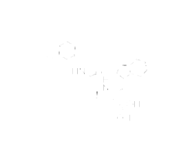 COc1cccc(CNC(=O)C(C(=O)N[C@@H](Cc2coc3ccccc23)OB(O)O)C(C)C)c1